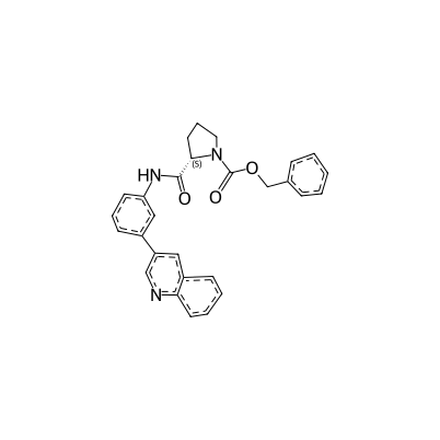 O=C(Nc1cccc(-c2cnc3ccccc3c2)c1)[C@@H]1CCCN1C(=O)OCc1ccccc1